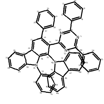 c1ccc(-c2nc(-c3ccccc3)nc(-c3c(-c4ccccc4)cc4c5ccccc5n(-c5ccccc5)c4c3-n3c4ccccc4c4ccccc43)n2)cc1